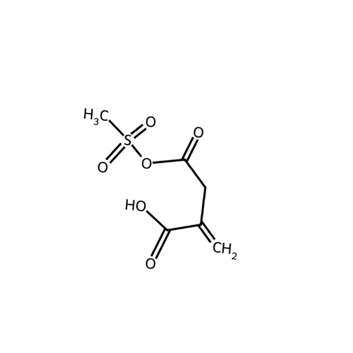 C=C(CC(=O)OS(C)(=O)=O)C(=O)O